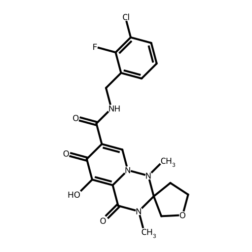 CN1C(=O)c2c(O)c(=O)c(C(=O)NCc3cccc(Cl)c3F)cn2N(C)C12CCOC2